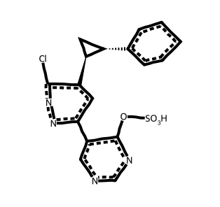 O=S(=O)(O)Oc1ncncc1-c1cc([C@H]2C[C@@H]2c2ccccc2)c(Cl)nn1